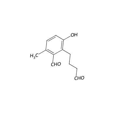 Cc1ccc(O)c(CCCC=O)c1C=O